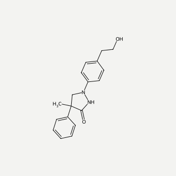 CC1(c2ccccc2)CN(c2ccc(CCO)cc2)NC1=O